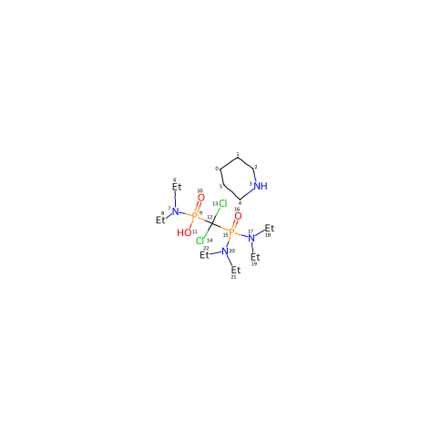 C1CCNCC1.CCN(CC)P(=O)(O)C(Cl)(Cl)P(=O)(N(CC)CC)N(CC)CC